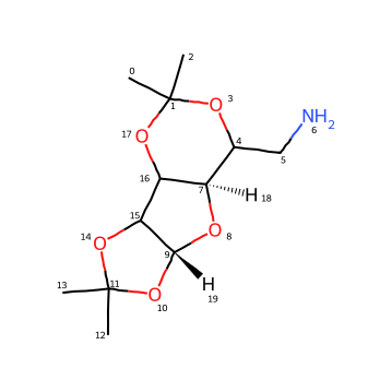 CC1(C)OC(CN)[C@H]2O[C@@H]3OC(C)(C)OC3C2O1